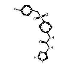 O=C(Nc1ccc(S(=O)(=O)Cc2ccc(F)cc2)cc1)Nc1cn[nH]c1